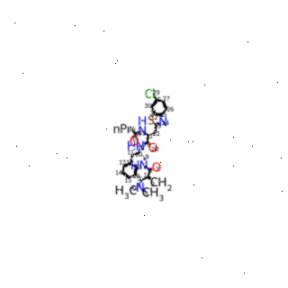 C=C(CN(C)C)C(=O)NC[C@H](Cc1ccccc1)NC(=O)[C@H](Cc1nc2ccc(Cl)cc2s1)NC(=O)CCC